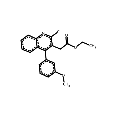 CCOC(=O)Cc1c(Cl)nc2ccccc2c1-c1cccc(OC)c1